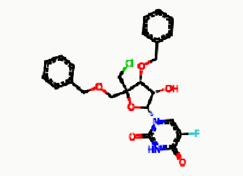 O=c1[nH]c(=O)n([C@@H]2O[C@](CCl)(COCc3ccccc3)[C@@H](OCc3ccccc3)[C@@H]2O)cc1F